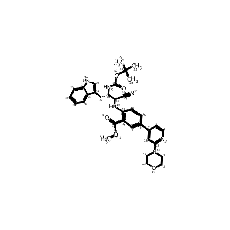 COC(=O)c1cc(-c2ccnc(N3CCOCC3)c2)ccc1NC(C#N)[C@H](Cc1c[nH]c2ccccc12)NC(=O)OC(C)(C)C